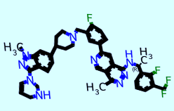 Cc1nnc(N[C@H](C)c2cccc(C(F)F)c2F)c2cc(-c3ccc(F)c(CN4CCC(c5ccc6c(N7C=CCNC7)nn(C)c6c5)CC4)c3)ncc12